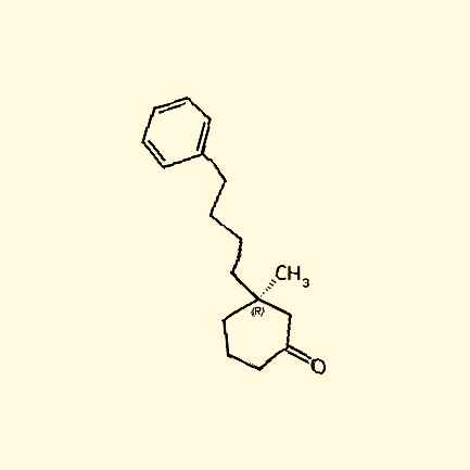 C[C@@]1(CCCCc2ccccc2)CCCC(=O)C1